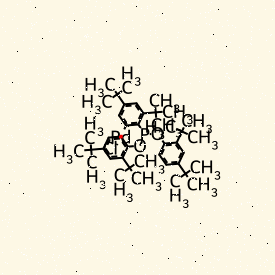 CC(C)(C)c1ccc(OP(Oc2ccc(C(C)(C)C)cc2C(C)(C)C)c2[c]([Pd][Cl])cc(C(C)(C)C)cc2C(C)(C)C)c(C(C)(C)C)c1